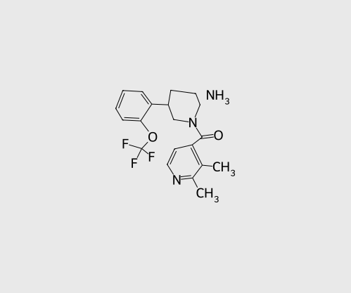 Cc1nccc(C(=O)N2CCCC(c3ccccc3OC(F)(F)F)C2)c1C.N